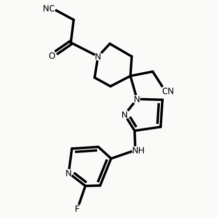 N#CCC(=O)N1CCC(CC#N)(n2ccc(Nc3ccnc(F)c3)n2)CC1